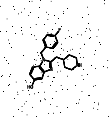 Oc1ccc2c(c1)nc(CC1CCNCC1)n2Cc1ccc(F)cc1